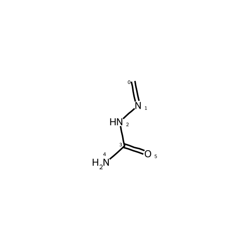 C=NNC(N)=O